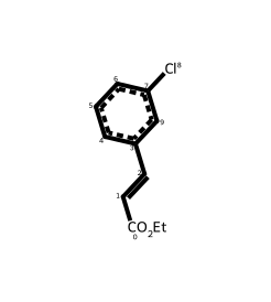 CCOC(=O)C=Cc1cccc(Cl)c1